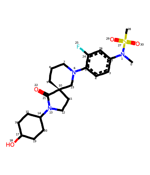 CN(c1ccc(N2CCC[C@]3(CCN(C4CCC(O)CC4)C3=O)C2)c(F)c1)S(C)(=O)=O